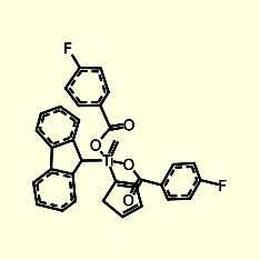 [CH2]=[Ti]([O]C(=O)c1ccc(F)cc1)([O]C(=O)c1ccc(F)cc1)([C]1=CC=CC1)[CH]1c2ccccc2-c2ccccc21